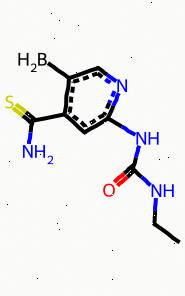 Bc1cnc(NC(=O)NCC)cc1C(N)=S